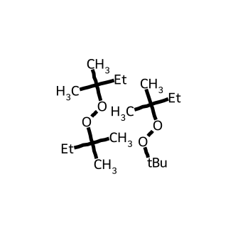 CCC(C)(C)OOC(C)(C)C.CCC(C)(C)OOC(C)(C)CC